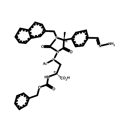 CC(=O)N(C[C@@H](NC(=O)OCc1ccccc1)C(=O)O)N1C(=O)N(Cc2ccc3ccccc3c2)[C@](C)(c2ccc(C=NN)cc2)C1=O